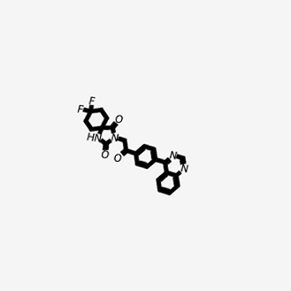 O=C(CN1C(=O)NC2(CCC(F)(F)CC2)C1=O)c1ccc(-c2ncnc3ccccc23)cc1